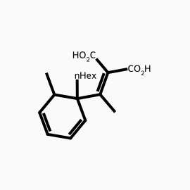 CCCCCCC1(C(C)=C(C(=O)O)C(=O)O)C=CC=CC1C